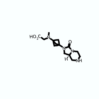 CN(CC(=O)O)C12CC(N3C[C@@H]4CNCCN4C3=O)(C1)C2